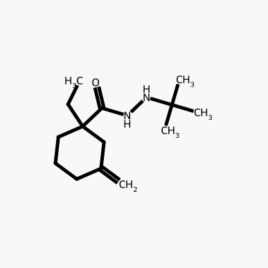 C=C1CCCC(CC)(C(=O)NNC(C)(C)C)C1